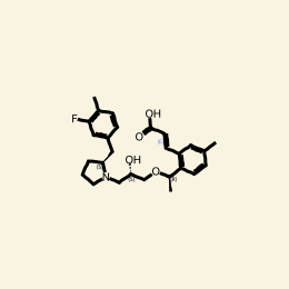 Cc1ccc([C@@H](C)OC[C@@H](O)CN2CCC[C@H]2Cc2ccc(C)c(F)c2)c(/C=C/C(=O)O)c1